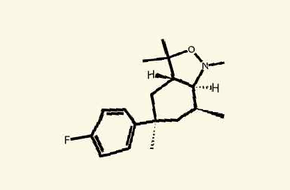 C[C@H]1C[C@@](C)(c2ccc(F)cc2)C[C@H]2[C@H]1N(C)OC2(C)C